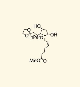 CCCCCC1(CC[C@H]2C(O)C[C@H](O)[C@@H]2C/C=C\CCCC(=O)OC)OCCO1